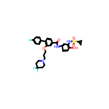 O=C(Nc1ccc(O)c(NS(=O)(=O)C2CC2)c1)c1ccc(-c2ccc(F)cc2)c(OCCCN2CCC(F)(F)CC2)c1